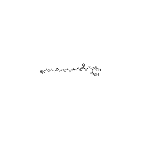 C=COCCOCCOCCOCCOC(=O)CCC(CO)CO